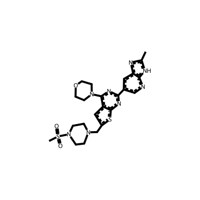 Cc1nc2cc(-c3nc(N4CCOCC4)c4cc(CN5CCN(S(C)(=O)=O)CC5)sc4n3)cnc2[nH]1